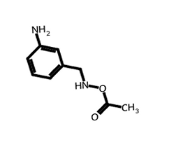 CC(=O)ONCc1cccc(N)c1